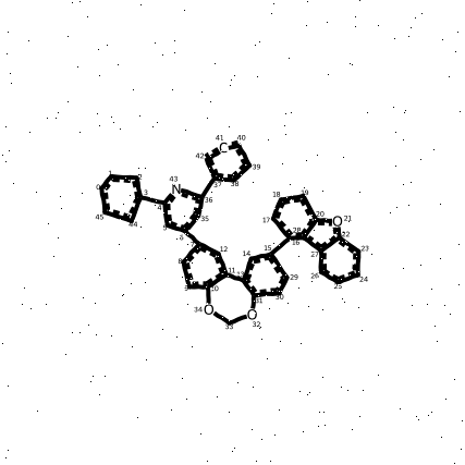 c1ccc(-c2cc(-c3ccc4c(c3)-c3cc(-c5cccc6oc7ccccc7c56)ccc3OCO4)cc(-c3ccccc3)n2)cc1